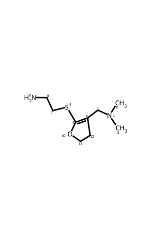 CN(C)CC1=C(SCCN)OCC1